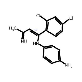 CC(=N)/C=C(\Nc1ccc(N)cc1)c1ccc(Cl)cc1Cl